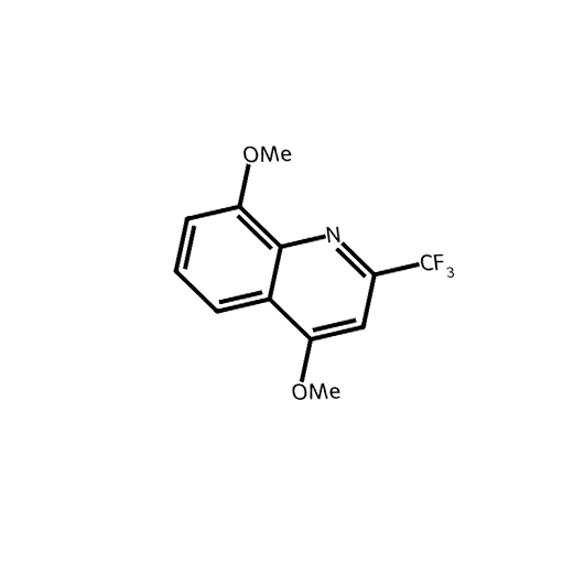 COc1cc(C(F)(F)F)nc2c(OC)cccc12